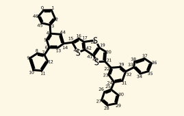 c1ccc(-c2cc(-c3ccccc3)cc(-c3cc4sc5cc(-c6cc(-c7ccccc7)cc(-c7ccccc7)c6)sc5c4s3)c2)cc1